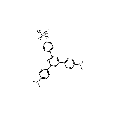 CN(C)c1ccc(-c2cc(-c3ccccc3)[o+]c(-c3ccc(N(C)C)cc3)c2)cc1.[O-][Cl+3]([O-])([O-])[O-]